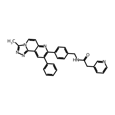 Cc1nnc2c3cc(-c4ccccc4)c(-c4ccc(CNC(=O)Cc5cccnc5)cc4)nc3ccn12